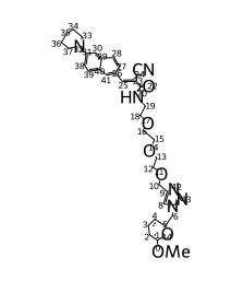 COC1[CH][CH][CH]C(Cn2cc(COCCOCCOCCNC(=O)/C(C#N)=C/c3ccc4cc(N5CCCCC5)ccc4c3)nn2)O1